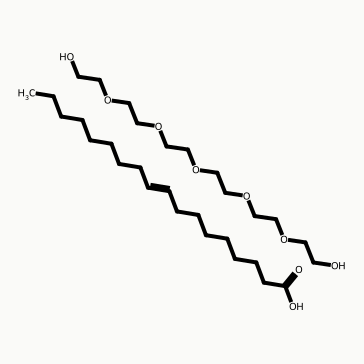 CCCCCCCCC=CCCCCCCCC(=O)O.OCCOCCOCCOCCOCCOCCO